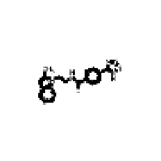 Cc1cc2ccccc2n1CCNC(=O)c1ccc(-c2nnn[nH]2)cc1